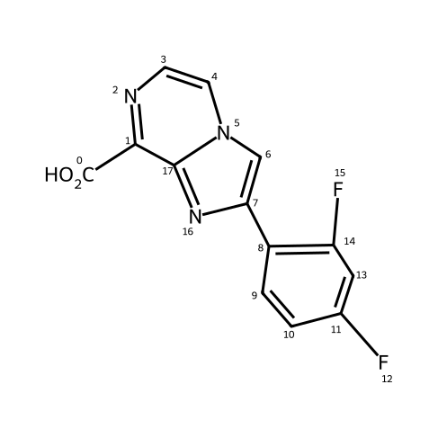 O=C(O)c1nccn2cc(-c3ccc(F)cc3F)nc12